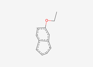 CCOc1[c]cc2ccccc2c1